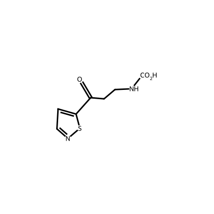 O=C(O)NCCC(=O)c1ccns1